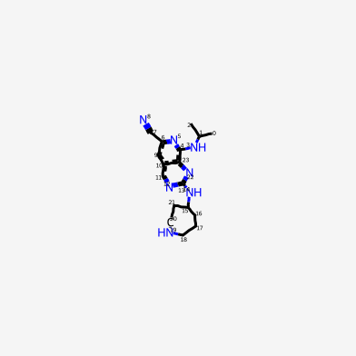 CC(C)Nc1nc(C#N)cc2cnc(NC3CCCNCC3)nc12